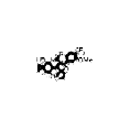 COc1cc(C2OC3(CCOC3)c3c4c(nc(C(C)C)c32)C(O)C2(CC2)CC4O)ccc1C(F)(F)F